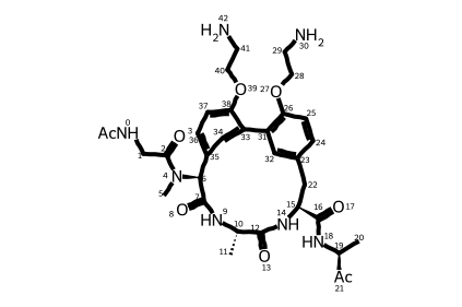 CC(=O)NCC(=O)N(C)[C@@H]1C(=O)N[C@@H](C)C(=O)N[C@H](C(=O)N[C@@H](C)C(C)=O)Cc2ccc(OCCN)c(c2)-c2cc1ccc2OCCN